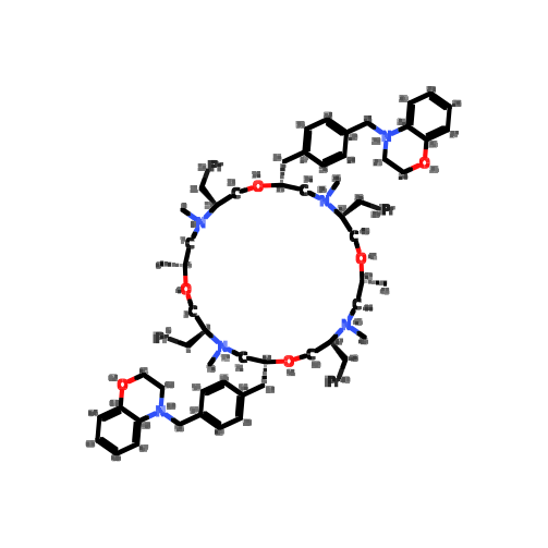 CC(C)C[C@H]1CO[C@H](C)CN(C)[C@@H](CC(C)C)CO[C@H](Cc2ccc(CN3CCOc4ccccc43)cc2)CN(C)[C@@H](CC(C)C)CO[C@H](C)CN(C)[C@@H](CC(C)C)CO[C@H](Cc2ccc(CN3CCOc4ccccc43)cc2)CN1C